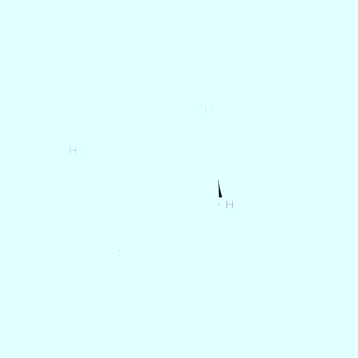 CC1=C([C@H](C)C2=CC=CC2)C2=CC3SC=CC3=C(C)C2=C1